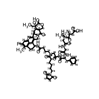 CC[C@@]1(O)C(=O)OCc2c1cc1n(c2=O)Cc2c-1nc1cc(F)c(C)c3c1c2[C@@H](NC(=O)CCCN(CC(=O)NC(=O)[C@H](Cc1ccccc1)NC(=O)CNC(=O)CN(C)C(=O)[C@@H](N)CC(=O)O)C(=O)CCCCCN1C(=O)C=CC1=O)CC3